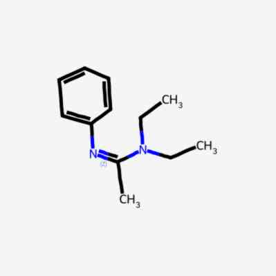 CCN(CC)/C(C)=N\c1ccccc1